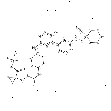 CC(COC1(C(=O)OC(C)(C)C)CC1)NC1CCC(Nc2cc(-c3cccc(NCC4(C#N)CCOCC4)n3)c(Cl)cn2)CC1